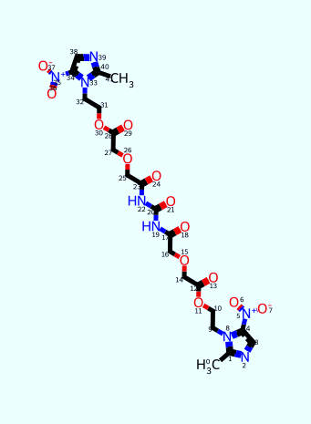 Cc1ncc([N+](=O)[O-])n1CCOC(=O)COCC(=O)NC(=O)NC(=O)COCC(=O)OCCn1c([N+](=O)[O-])cnc1C